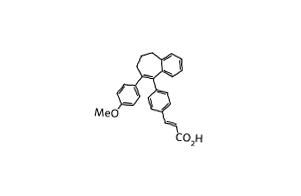 COc1ccc(C2=C(c3ccc(/C=C/C(=O)O)cc3)c3ccccc3CCC2)cc1